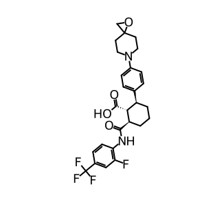 O=C(O)[C@@H]1[C@@H](c2ccc(N3CCC4(CC3)CO4)cc2)CCC[C@H]1C(=O)Nc1ccc(C(F)(F)F)cc1F